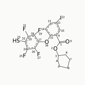 O=C(OC1CCCCC1)c1cc(I)ccc1Oc1c(F)c(F)c(S)c(F)c1F